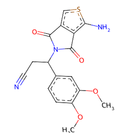 COc1ccc(C(CC#N)N2C(=O)c3csc(N)c3C2=O)cc1OC